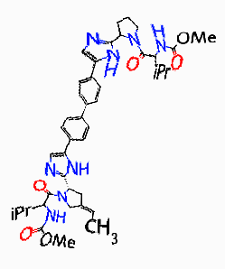 CC=C1C[C@@H](c2ncc(-c3ccc(-c4ccc(-c5cnc(C6CCCN6C(=O)C(NC(=O)OC)C(C)C)[nH]5)cc4)cc3)[nH]2)N(C(=O)[C@@H](NC(=O)OC)C(C)C)C1